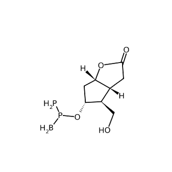 BP(P)O[C@@H]1C[C@@H]2OC(=O)C[C@@H]2[C@H]1CO